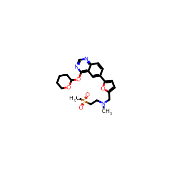 CN(CCS(C)(=O)=O)Cc1ccc(-c2ccc3ncnc(OC4CCCCO4)c3c2)o1